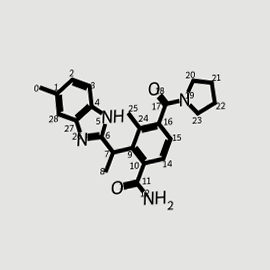 Cc1ccc2[nH]c(C(C)c3c(C(N)=O)ccc(C(=O)N4CCCC4)c3C)nc2c1